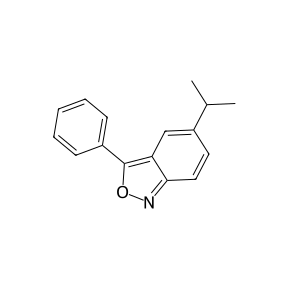 CC(C)c1ccc2noc(-c3ccccc3)c2c1